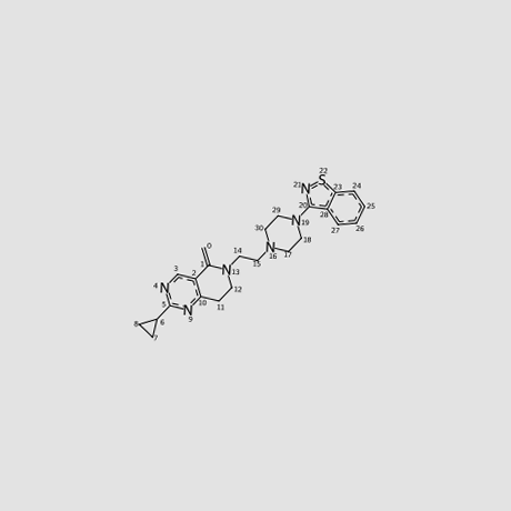 C=C1c2cnc(C3CC3)nc2CCN1CCN1CCN(c2nsc3ccccc23)CC1